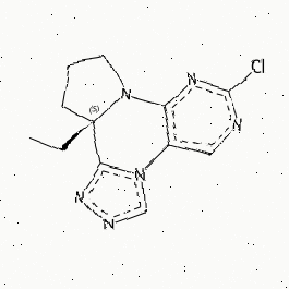 CC[C@@]12CCCN1c1nc(Cl)ncc1-n1cnnc12